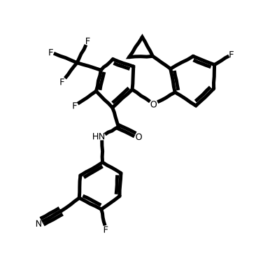 N#Cc1cc(NC(=O)c2c(Oc3ccc(F)cc3C3CC3)ccc(C(F)(F)F)c2F)ccc1F